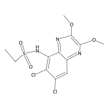 CCS(=O)(=O)Nc1c(Cl)c(Cl)cc2nc(OC)c(OC)nc12